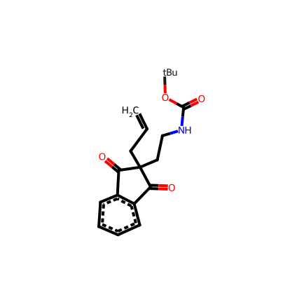 C=CCC1(CCNC(=O)OC(C)(C)C)C(=O)c2ccccc2C1=O